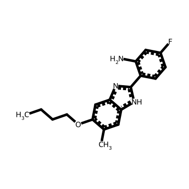 CCCCOc1cc2nc(-c3ccc(F)cc3N)[nH]c2cc1C